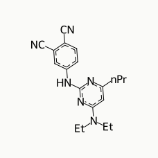 CCCc1cc(N(CC)CC)nc(Nc2ccc(C#N)c(C#N)c2)n1